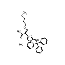 COCCCON=C(C(=O)O)c1csc(NC(c2ccccc2)(c2ccccc2)c2ccccc2)n1.Cl